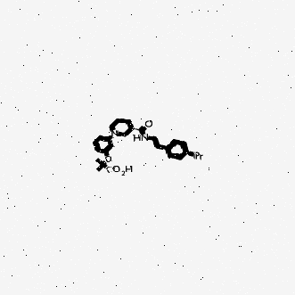 CC(C)c1ccc(CCNC(=O)[C@H]2CCCN(c3cccc(OC(C)(C)C(=O)O)c3)C2)cc1